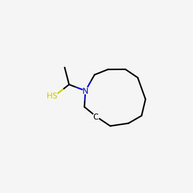 CC(S)N1CCCCCCCCCC1